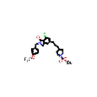 CC(C)(C)OC(=O)N1CCC(CCCc2cc(Cl)c3c(c2)CN(Cc2ccc(OC(F)(F)F)cc2)C3=O)CC1